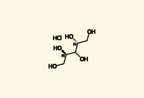 Cl.OC[C@@H](O)C(O)[C@H](O)CO